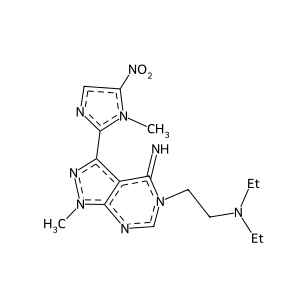 CCN(CC)CCn1cnc2c(c(-c3ncc([N+](=O)[O-])n3C)nn2C)c1=N